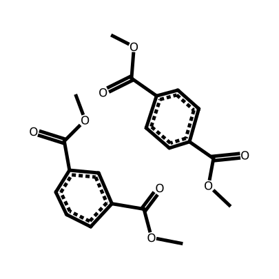 COC(=O)c1ccc(C(=O)OC)cc1.COC(=O)c1cccc(C(=O)OC)c1